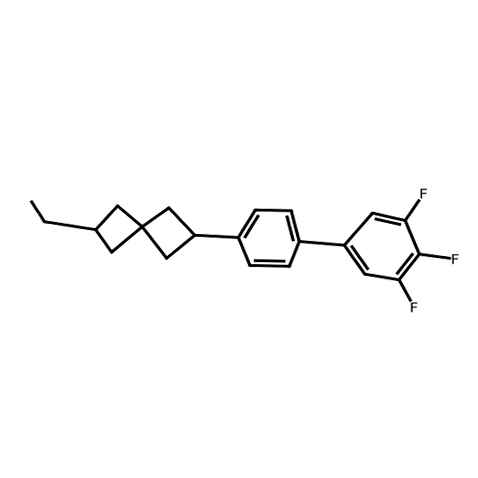 CCC1CC2(C1)CC(c1ccc(-c3cc(F)c(F)c(F)c3)cc1)C2